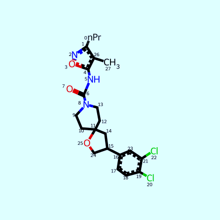 CCCc1noc(NC(=O)N2CCC3(CC2)CC(c2ccc(Cl)c(Cl)c2)CO3)c1C